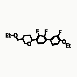 CCOCC1CCC(c2ccc(-c3ccc(OCC)c(F)c3)c(F)c2F)OC1